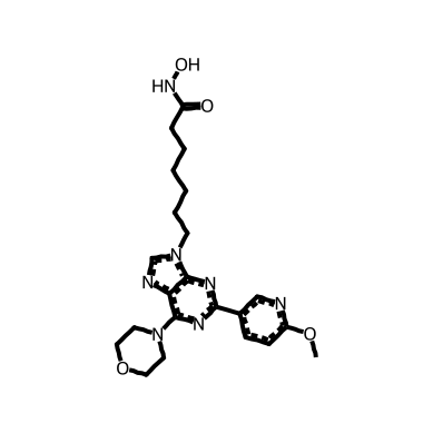 COc1ccc(-c2nc(N3CCOCC3)c3ncn(CCCCCCC(=O)NO)c3n2)cn1